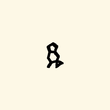 C=C1CC2=CC=CC2=CC12CC2